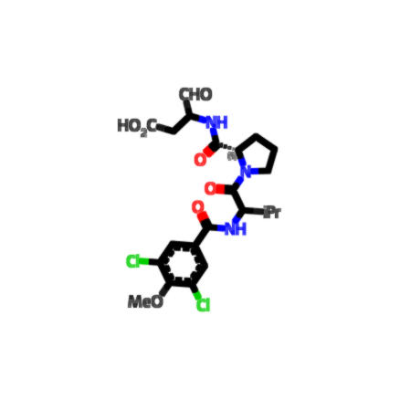 COc1c(Cl)cc(C(=O)NC(C(=O)N2CCC[C@H]2C(=O)NC(C=O)CC(=O)O)C(C)C)cc1Cl